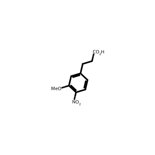 COc1cc(CCC(=O)O)ccc1[N+](=O)[O-]